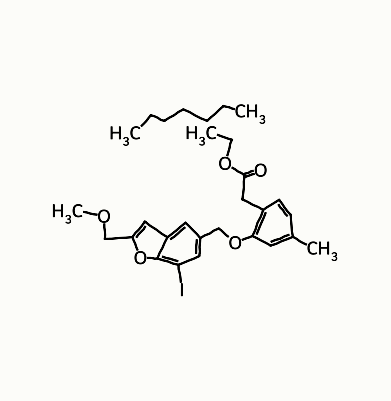 CCCCCCC.CCOC(=O)Cc1ccc(C)cc1OCc1cc(I)c2oc(COC)cc2c1